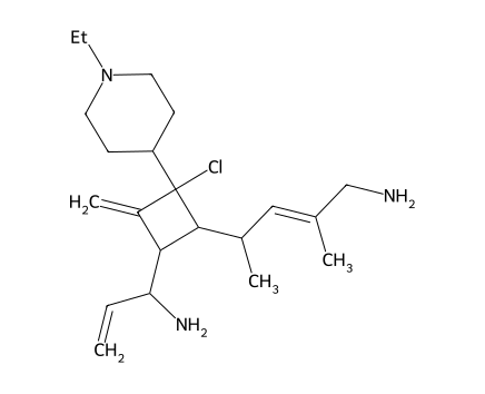 C=CC(N)C1C(=C)C(Cl)(C2CCN(CC)CC2)C1C(C)/C=C(\C)CN